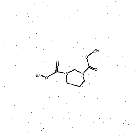 CC(C)(C)OC(=O)N1CCCN(C(=O)OC(C)(C)C)C1